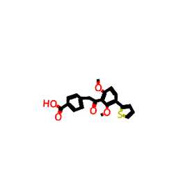 COc1ccc(-c2cccs2)c(OC)c1C(=O)Cc1ccc(C(=O)O)cc1